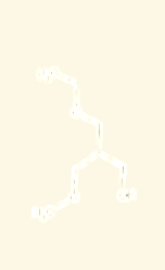 CCOCC(CO)COC